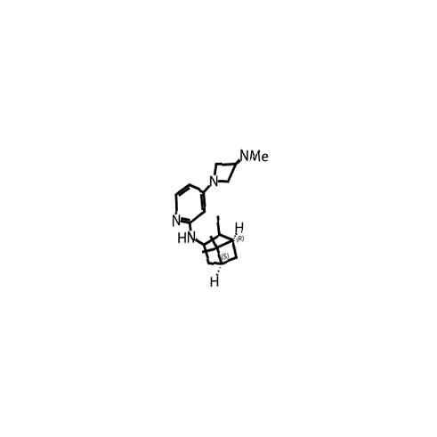 CNC1CN(c2ccnc(NC3C[C@@H]4C[C@H](C3C)C4(C)C)c2)C1